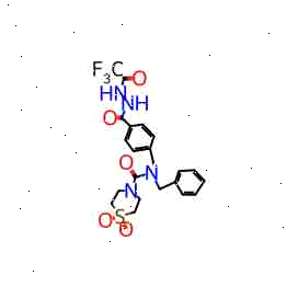 O=C(NNC(=O)C(F)(F)F)c1ccc(CN(Cc2ccccc2)C(=O)N2CCS(=O)(=O)CC2)cc1